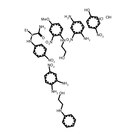 CCN(Nc1ccc([N+](=O)[O-])cc1)C(N)=O.COc1ccc(NCCO)c([N+](=O)[O-])c1.Cl.Cl.Nc1ccc(N)c([N+](=O)[O-])c1.Nc1ccc([N+](=O)[O-])cc1N.O=[N+]([O-])c1ccc(O)cc1.OCCNc1cc[c]cc1